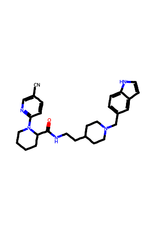 N#Cc1ccc(N2CCCCC2C(=O)NCCC2CCN(Cc3ccc4[nH]ccc4c3)CC2)nc1